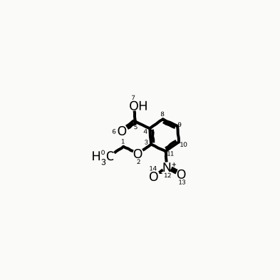 CCOc1c(C(=O)O)cccc1[N+](=O)[O-]